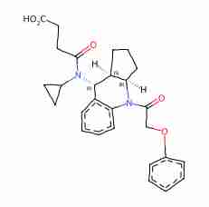 O=C(O)CCC(=O)N(C1CC1)[C@H]1c2ccccc2N(C(=O)COc2ccccc2)[C@@H]2CCC[C@@H]21